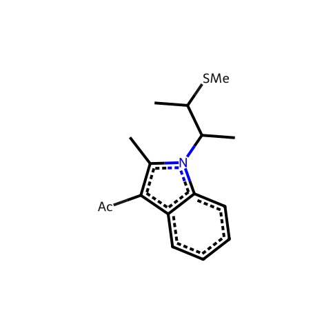 CSC(C)C(C)n1c(C)c(C(C)=O)c2ccccc21